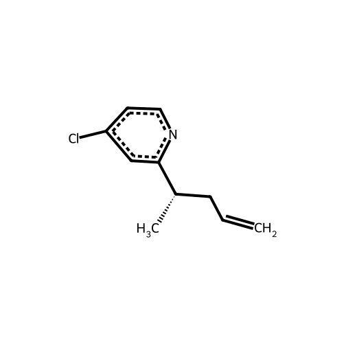 C=CC[C@H](C)c1cc(Cl)ccn1